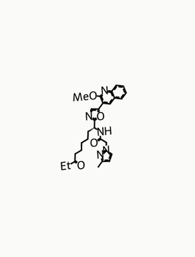 CCC(=O)CCCCC[C@H](NC(=O)Cn1ccc(C)n1)c1ncc(-c2cc3ccccc3nc2OC)o1